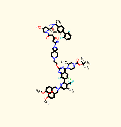 COc1ccc(CN(Cc2ccc(OC)cc2)c2cc(C)c(C(F)(F)F)c(-c3c(Cl)cc4c(N5CCN(C(=O)OC(C)(C)C)C[C@@H]5C)nc(OCCN5CCC6(CC5)CN(c5cc([C@H](C(=O)N7C[C@H](O)C[C@H]7C(=O)N[C@@H](C)c7ccc(-c8c(F)cccc8F)cc7)C(C)C)on5)C6)nc4c3F)n2)cc1